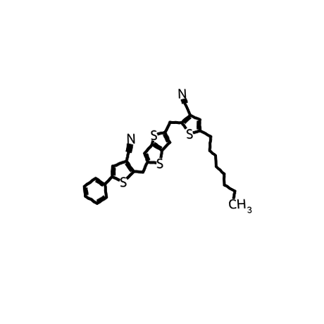 CCCCCCCCc1cc(C#N)c(Cc2cc3sc(Cc4sc(-c5ccccc5)cc4C#N)cc3s2)s1